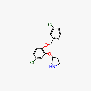 Clc1cccc(COc2ccc(Cl)cc2OC2CCNC2)c1